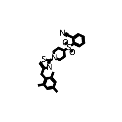 Cc1cc(C)c(Cc2csc(N3CCC(S(=O)(=O)c4ccccc4C#N)CC3)n2)c(C)c1